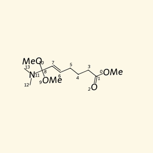 COC(=O)CCCC=CC(OC)(OC)N(C)C